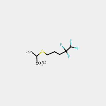 CCCC(SCCCC(F)(F)C(F)F)C(=O)OCC